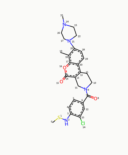 CSNc1ccc(C(=O)N2CCc3c(c(=O)oc4c(C)c(N5CCN(C)CC5)ccc34)C2)cc1Cl